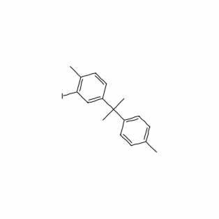 Cc1ccc(C(C)(C)c2ccc(C)c(I)c2)cc1